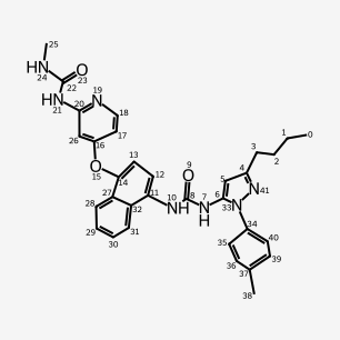 CCCCc1cc(NC(=O)Nc2ccc(Oc3ccnc(NC(=O)NC)c3)c3ccccc23)n(-c2ccc(C)cc2)n1